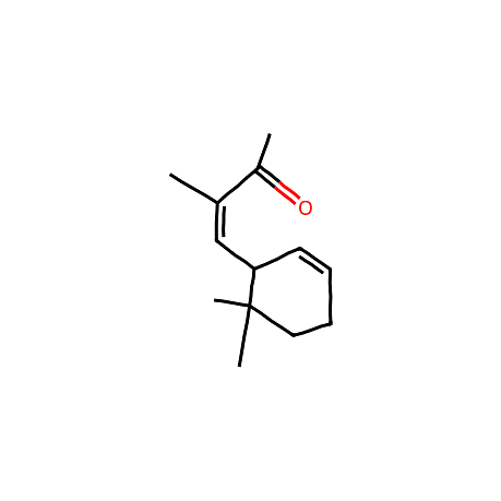 CC(=O)C(C)=CC1C=CCCC1(C)C